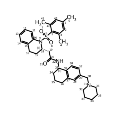 Cc1cc(C)c(S(=O)(=O)N2c3ccccc3CC[C@H]2CC(=O)N[C@@H]2CCCc3cc(CN4CCCCC4)ccc32)c(C)c1